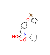 O=C(O)/C(=C/c1ccc(Oc2ccccc2Br)cc1)NC(=O)C1CCCCCC1